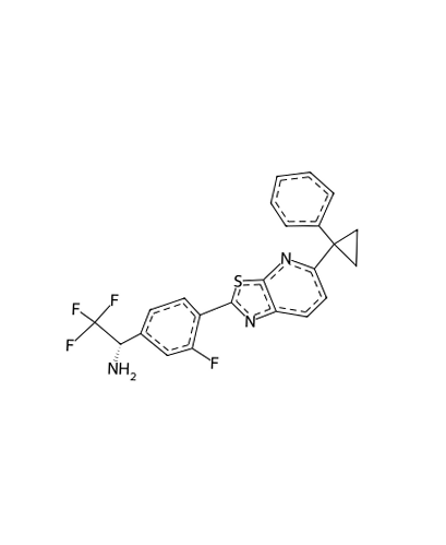 N[C@@H](c1ccc(-c2nc3ccc(C4(c5ccccc5)CC4)nc3s2)c(F)c1)C(F)(F)F